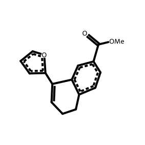 COC(=O)c1ccc2c(c1)C(c1ccco1)=CCC2